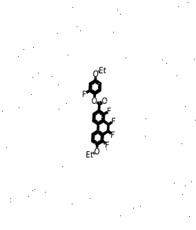 CCOc1ccc(OC(=O)c2ccc3c(c2F)C(F)C(F)c2c-3ccc(OCC)c2F)c(F)c1